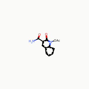 CC(=O)On1c(=O)c(C(N)=O)cc2ccccc21